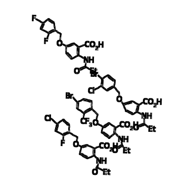 CCC(=O)Nc1ccc(OCc2ccc(Br)c(Cl)c2)cc1C(=O)O.CCC(=O)Nc1ccc(OCc2ccc(Br)cc2C(F)(F)F)cc1C(=O)O.CCC(=O)Nc1ccc(OCc2ccc(Cl)cc2F)cc1C(=O)O.CCC(=O)Nc1ccc(OCc2ccc(F)cc2F)cc1C(=O)O